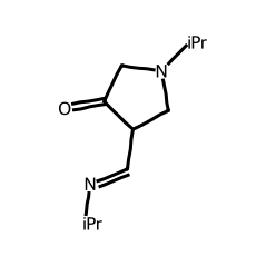 CC(C)/N=C/C1CN(C(C)C)CC1=O